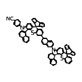 N#Cc1ccc(-n2c3ccc4c(c3c3c5ccccc5ccc32)Sc2cc(-c3ccc5cc(-n6c7ccc8c(c7c7c9ccccc9ccc76)Sc6ccccc6C86c7ccccc7-c7ccccc76)ccc5c3)ccc2C42c3ccccc3-c3ccccc32)cc1